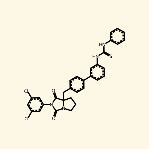 O=C1N(c2cc(Cl)cc(Cl)c2)C(=O)C2(Cc3ccc(-c4cccc(NC(=S)Nc5ccccc5)c4)cc3)CCCN12